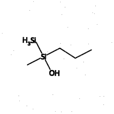 CCC[Si](C)(O)[SiH3]